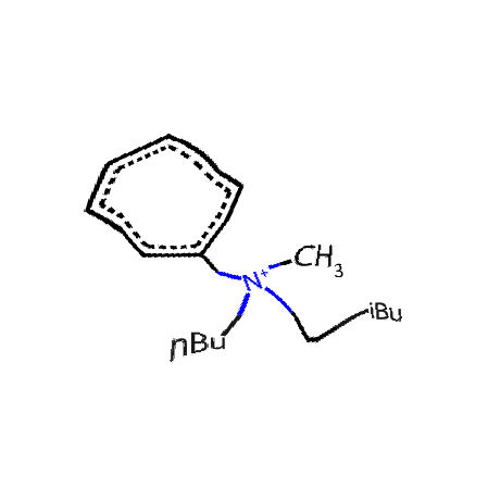 CCCC[N+](C)(CC(C)CC)c1ccccc1